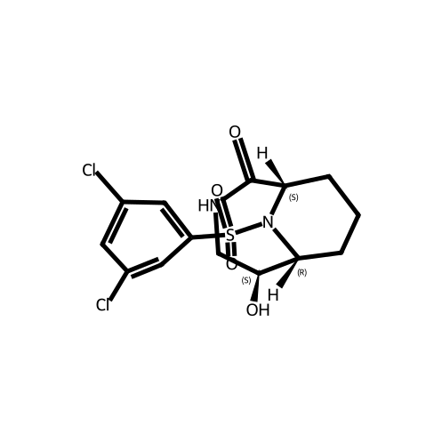 O=C1NC[C@H](O)[C@H]2CCC[C@@H]1N2S(=O)(=O)c1cc(Cl)cc(Cl)c1